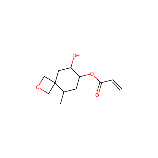 C=CC(=O)OC1CC(C)C2(COC2)CC1O